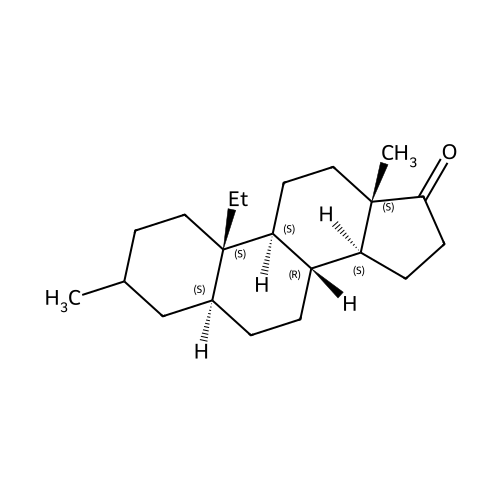 CC[C@]12CCC(C)C[C@@H]1CC[C@@H]1[C@@H]2CC[C@]2(C)C(=O)CC[C@@H]12